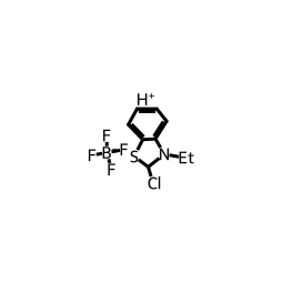 CCN1c2ccccc2SC1Cl.F[B-](F)(F)F.[H+]